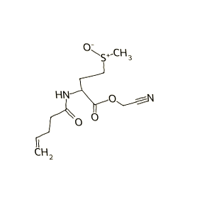 C=CCCC(=O)NC(CC[S+](C)[O-])C(=O)OCC#N